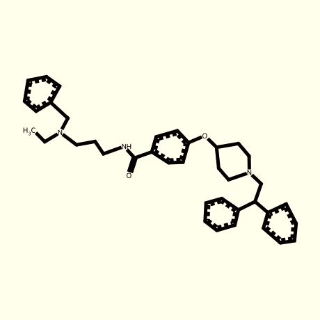 CCN(CCCNC(=O)c1ccc(OC2CCN(CC(c3ccccc3)c3ccccc3)CC2)cc1)Cc1ccccc1